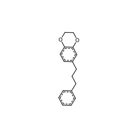 c1ccc(CCCc2ccc3c(c2)OCCO3)cc1